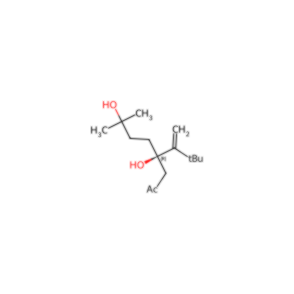 C=C(C(C)(C)C)[C@@](O)(CCC(C)(C)O)CC(C)=O